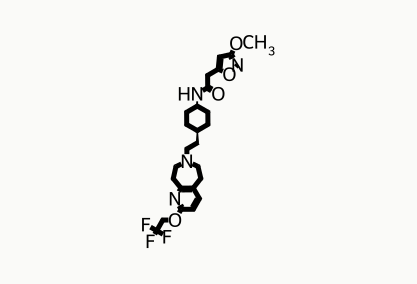 COc1cc(CC(=O)N[C@H]2CC[C@H](CCN3CCc4ccc(OCC(F)(F)F)nc4CC3)CC2)on1